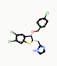 Clc1ccc(CO[C@H]2c3cc(Cl)c(Cl)cc3S[C@H]2Cc2ncc[nH]2)cc1